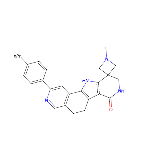 CCCc1ccc(-c2cc3c(cn2)CCc2c-3[nH]c3c2C(=O)NCC32CN(C)C2)cc1